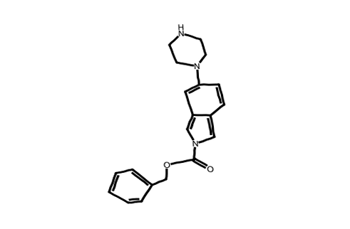 O=C(OCc1ccccc1)n1cc2ccc(N3CCNCC3)cc2c1